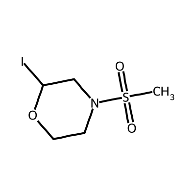 CS(=O)(=O)N1CCOC(I)C1